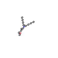 C[Si]1(C)c2cc(-c3cccc4c3oc3ccccc34)ccc2-c2ccc(-n3c4ccc(-c5ccc(-c6ccc(-c7ccccc7)cc6)cc5)cc4c4cc(-c5ccc(-c6ccc(-c7ccccc7)cc6)cc5)ccc43)cc21